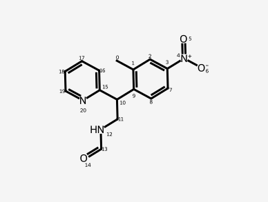 Cc1cc([N+](=O)[O-])ccc1C(CNC=O)c1ccccn1